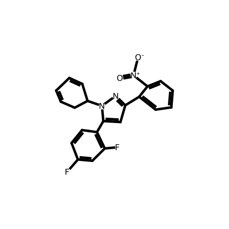 O=[N+]([O-])c1ccccc1-c1cc(-c2ccc(F)cc2F)n(C2C=CC=CC2)n1